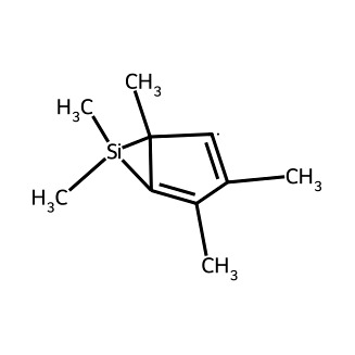 CC1=[C]C2(C)C(=C1C)[Si]2(C)C